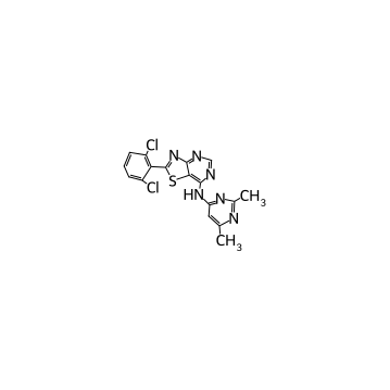 Cc1cc(Nc2ncnc3nc(-c4c(Cl)cccc4Cl)sc23)nc(C)n1